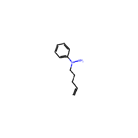 C=CCCCN(N)c1ccccc1